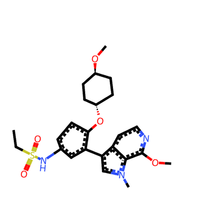 CCS(=O)(=O)Nc1ccc(O[C@H]2CC[C@H](OC)CC2)c(-c2cn(C)c3c(OC)nccc23)c1